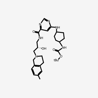 Cc1ccc2c(c1)CCN(C[C@@H](O)CNC(=O)c1cc(NC3CCC(NC(=O)OC(C)(C)C)CC3)ncn1)C2